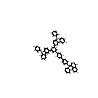 c1ccc(N(c2ccc(-c3ccc(-c4cc(-c5ccc6c(c5)c5ccccc5n6-c5ccccc5)cc(-c5ccc6c(c5)c5ccccc5n6-c5ccccc5)c4)cc3)cc2)c2cccc3ccccc23)cc1